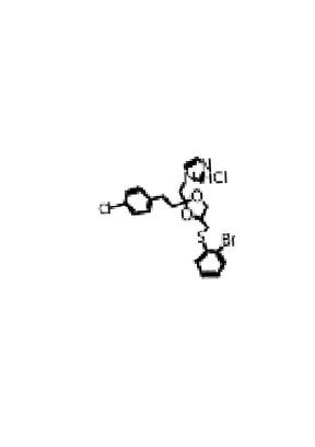 Cl.Clc1ccc(CCC2(Cn3ccnc3)OCC(CSc3ccccc3Br)O2)cc1